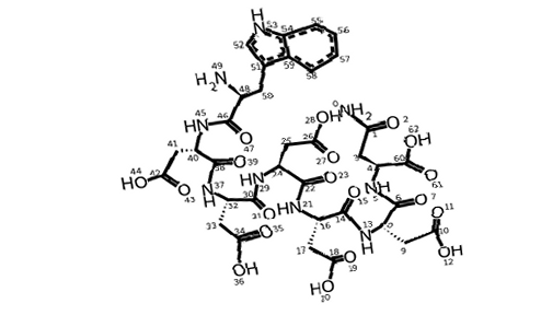 NC(=O)C[C@H](NC(=O)[C@H](CC(=O)O)NC(=O)[C@H](CC(=O)O)NC(=O)[C@H](CC(=O)O)NC(=O)[C@H](CC(=O)O)NC(=O)[C@H](CC(=O)O)NC(=O)[C@@H](N)Cc1c[nH]c2ccccc12)C(=O)O